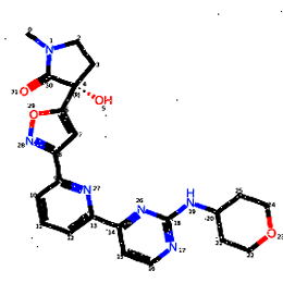 CN1CC[C@@](O)(c2cc(-c3cccc(-c4ccnc(NC5CCOCC5)n4)n3)no2)C1=O